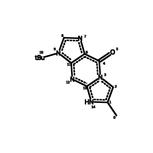 Cc1cn2c(=O)c3ncn(C(C)(C)C)c3nc2[nH]1